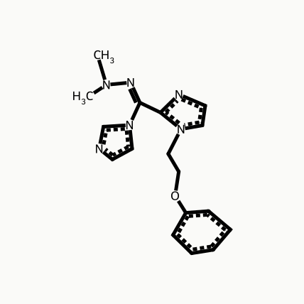 CN(C)/N=C(/c1nccn1CCOc1ccccc1)n1ccnc1